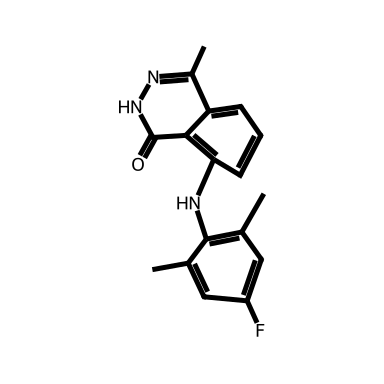 Cc1cc(F)cc(C)c1Nc1cccc2c(C)n[nH]c(=O)c12